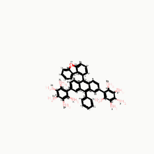 Bc1c(B)c(B)c(-c2ccc3c(-c4cccc5oc6ccccc6c45)c4ccc(-c5c(B)c(B)c(B)c(B)c5B)cc4c(-c4ccccc4)c3c2)c(B)c1B